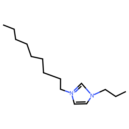 CCCCCCCCC[n+]1ccn(CCC)c1